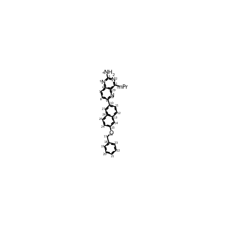 CCCc1nc(N)nc2ccc(-c3ccc4cc(OCc5ccccc5)ccc4c3)nc12